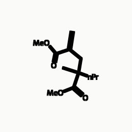 C=C(CC(C)(CCC)C(=O)OC)C(=O)OC